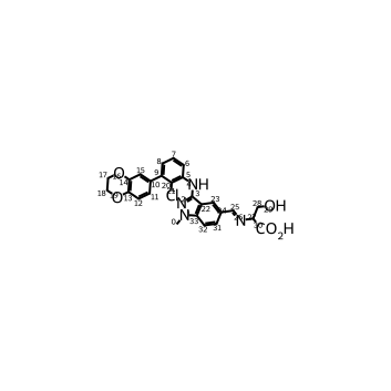 Cn1nc(Nc2cccc(-c3ccc4c(c3)OCCO4)c2Cl)c2cc(C=NC(CO)C(=O)O)ccc21